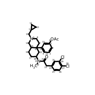 CC(=O)Oc1cccc(C23CCN(CC4CC4)CC2CCC(N(C)C(=O)Cc2ccc(Cl)c(Cl)c2)C3)c1